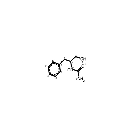 NC(=O)N[C@H](CO)Cc1ccccc1